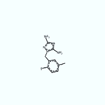 Cc1ccc(F)c(Cn2nc(N)nc2N)c1